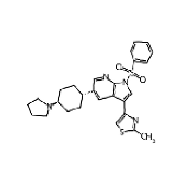 Cc1nc(-c2cn(S(=O)(=O)c3ccccc3)c3ncc([C@H]4CC[C@H](N5CCCC5)CC4)cc23)cs1